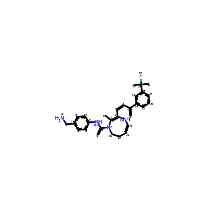 C=C(/C=C\C1=C(/C)N(C(=C)Nc2ccc(CN)cc2)CC/C=C\N1)c1cccc(C(C)(C)F)c1